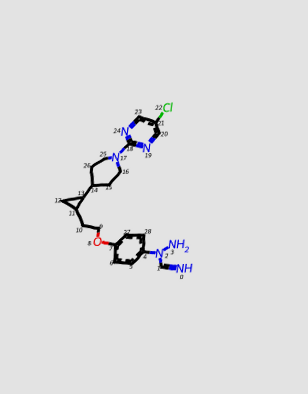 N=CN(N)c1ccc(OCCC2CC2C2CCN(c3ncc(Cl)cn3)CC2)cc1